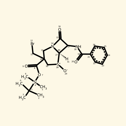 CC(C)(C)[Si](C)(C)OC(=O)C1(CBr)CN2C(=O)C(NC(=O)c3ccccc3)[C@H]2[S+]([O-])C1